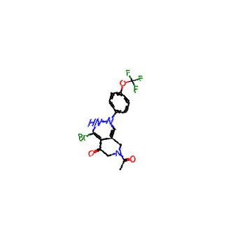 CC(=O)N1CC(=O)C2=C(Br)NN(c3ccc(OC(F)(F)F)cc3)C=C2C1